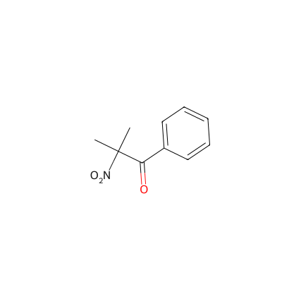 CC(C)(C(=O)c1ccccc1)[N+](=O)[O-]